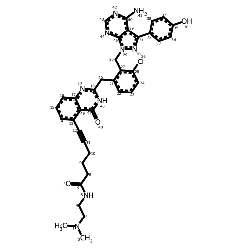 CN(C)CCNC(=O)CCCC#Cc1cccc2nc(Cc3cccc(Cl)c3Cn3nc(-c4ccc(O)cc4)c4c(N)ncnc43)[nH]c(=O)c12